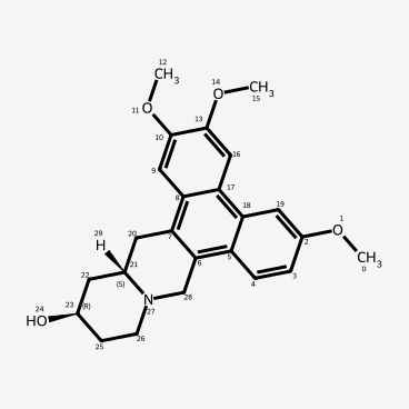 COc1ccc2c3c(c4cc(OC)c(OC)cc4c2c1)C[C@H]1C[C@H](O)CCN1C3